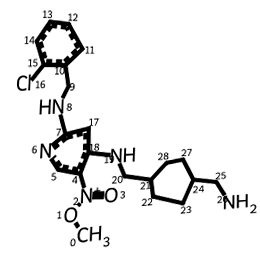 CO[N+](=O)c1cnc(NCc2ccccc2Cl)cc1NCC1CCC(CN)CC1